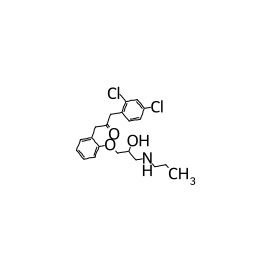 CCCNCC(O)COc1ccccc1CC(=O)Cc1ccc(Cl)cc1Cl